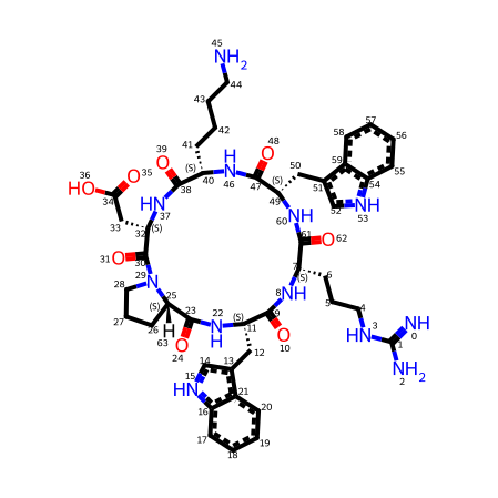 N=C(N)NCCC[C@@H]1NC(=O)[C@H](Cc2c[nH]c3ccccc23)NC(=O)[C@@H]2CCCN2C(=O)[C@H](CC(=O)O)NC(=O)[C@H](CCCCN)NC(=O)[C@H](Cc2c[nH]c3ccccc23)NC1=O